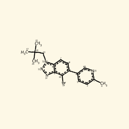 Cc1ccc(-c2ccc3c(nnn3CC(C)(C)C)c2Br)cn1